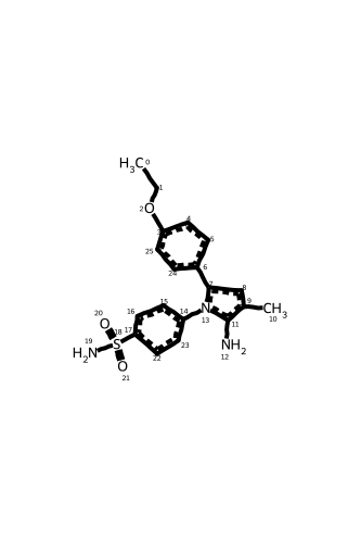 CCOc1ccc(-c2cc(C)c(N)n2-c2ccc(S(N)(=O)=O)cc2)cc1